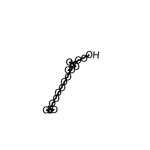 O=C(CCOCCOCCOCCOCCOCCOCCN1C(=O)C=CC1=O)OC1=CC(=O)N(CCOCCOCCO)C1=O